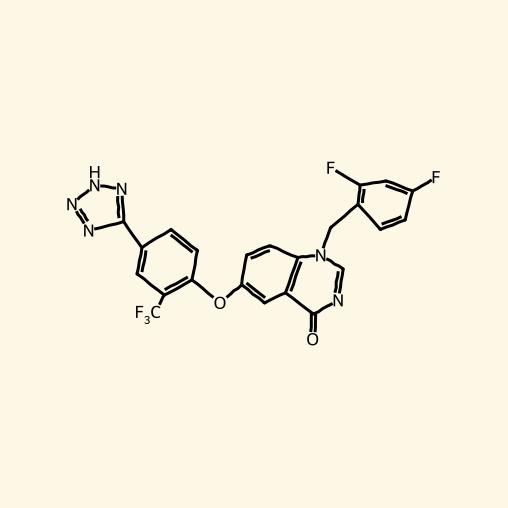 O=c1ncn(Cc2ccc(F)cc2F)c2ccc(Oc3ccc(-c4nn[nH]n4)cc3C(F)(F)F)cc12